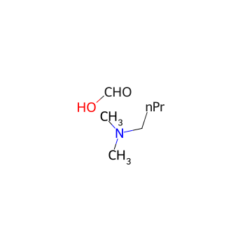 CCCCN(C)C.O=CO